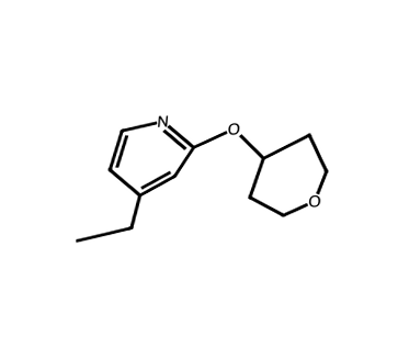 CCc1ccnc(OC2CCOCC2)c1